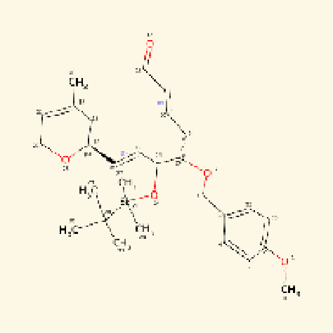 COc1ccc(CO[C@@H](C/C=C/C=O)C(/C=C/[C@@H]2CC(C)=CCO2)O[Si](C)(C)C(C)(C)C)cc1